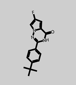 CC(C)(C)c1ccc(-c2nn3cc(F)cc3c(=O)[nH]2)cc1